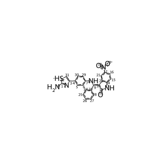 NC1=NC(c2ccc(NC(=C3C(=O)Nc4ccc([N+](=O)[O-])cc43)c3ccccc3)cc2)=C[SH]1